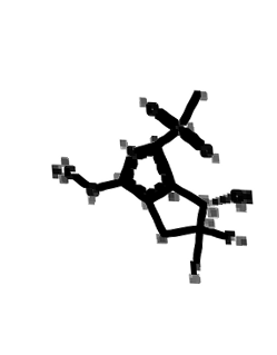 CS(=O)(=O)c1sc(OC(F)(F)F)c2c1[C@H](O)C(F)(F)C2